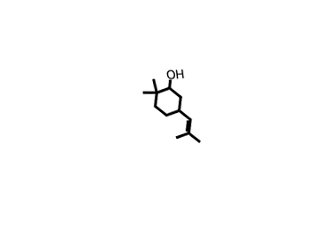 CC(C)=CC1CCC(C)(C)C(O)C1